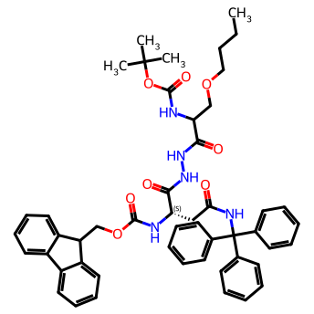 CCCCOCC(NC(=O)OC(C)(C)C)C(=O)NNC(=O)[C@H](CC(=O)NC(c1ccccc1)(c1ccccc1)c1ccccc1)NC(=O)OCC1c2ccccc2-c2ccccc21